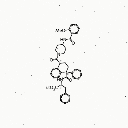 CCOC(=O)[C@H](Cc1ccccc1)NC(=O)[C@@]1(c2ccccc2)CC[C@H](C(=O)N2CCC(NC(=O)c3ccccc3OC)CC2)c2ccccc21